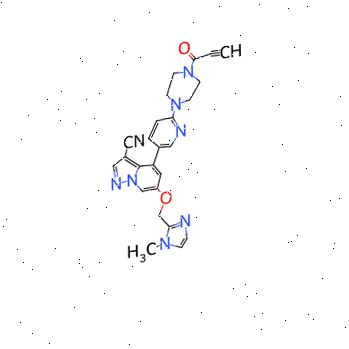 C#CC(=O)N1CCN(c2ccc(-c3cc(OCc4nccn4C)cn4ncc(C#N)c34)cn2)CC1